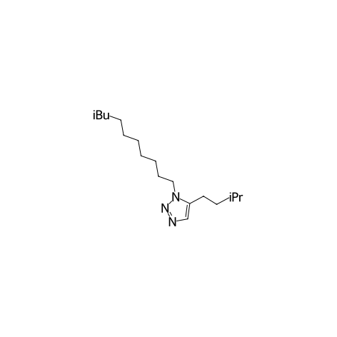 CCC(C)CCCCCCCn1nncc1CCC(C)C